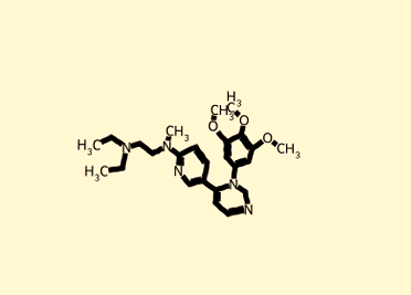 CCN(CC)CCN(C)c1ccc(C2=CC=NCN2c2cc(OC)c(OC)c(OC)c2)cn1